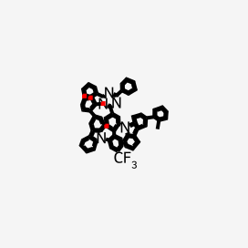 Cc1ccccc1-c1ccc2c(c1)c1ccccc1n2-c1cc(-c2nc(-c3ccccc3)nc(-c3ccccc3)n2)ccc1-c1ccc(C(F)(F)F)cc1-n1c2ccccc2c2cc(-c3ccccc3C)ccc21